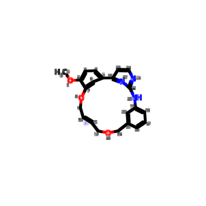 COc1ccc2cc1OC/C=C/COCc1cccc(c1)Nc1nccc-2n1